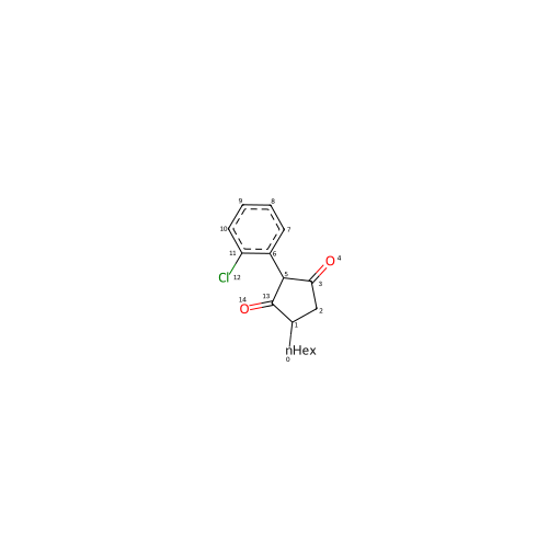 CCCCCCC1CC(=O)C(c2ccccc2Cl)C1=O